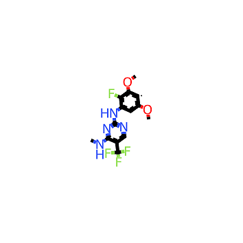 CNc1nc(Nc2cc(OC)[c]c(OC)c2F)ncc1C(F)(F)F